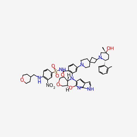 Cc1ccccc1[C@H]1CC[C@@](C)(O)CN1C1CC2(CCN(c3ccc(C(=O)NS(=O)(=O)c4ccc(NCC5CCOCC5)c([N+](=O)[O-])c4)c(N4c5cc6cc[nH]c6nc5O[C@H]5COCC[C@@H]54)c3)CC2)C1